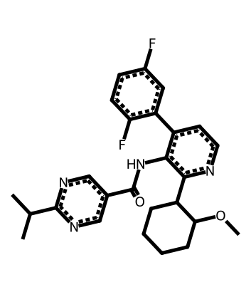 COC1CCCCC1c1nccc(-c2cc(F)ccc2F)c1NC(=O)c1cnc(C(C)C)nc1